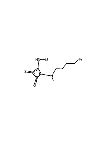 CCNc1c(N(C)CCCCC(C)C)c(=O)c1=S